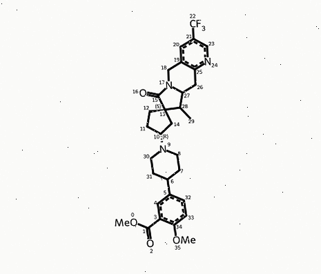 COC(=O)c1cc(C2CCN([C@@H]3CC[C@@]4(C3)C(=O)N3Cc5cc(C(F)(F)F)cnc5CC3C4C)CC2)ccc1OC